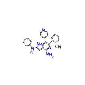 N#Cc1ccccc1-c1nc(N)c2cc(Nc3ccccc3)nn2c1-c1ccncc1